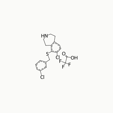 Clc1cccc(CSc2c(Cl)ccc3c2CCNCC3)c1.O=C(O)C(F)(F)F